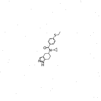 CCSc1ccc(C(=O)N(C2CC2)C2CCc3[nH]ncc3C2)cc1